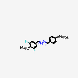 CCCCCCCc1ccc(/C=N/N=C/c2cc(F)c(OC)c(F)c2)cc1